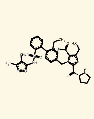 CCc1cc(Cn2c(C(=O)[C@@H]3CCCN3)nc(CC)c2C(N)=O)ccc1-c1ccccc1S(=O)(=O)Nc1onc(C)c1C